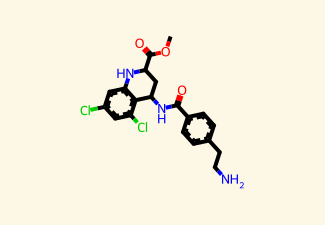 COC(=O)C1CC(NC(=O)c2ccc(CCN)cc2)c2c(Cl)cc(Cl)cc2N1